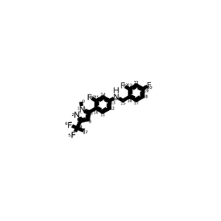 Cn1nc(C(F)(F)I)cc1-c1ccc(NCc2ccc(F)cc2F)cc1F